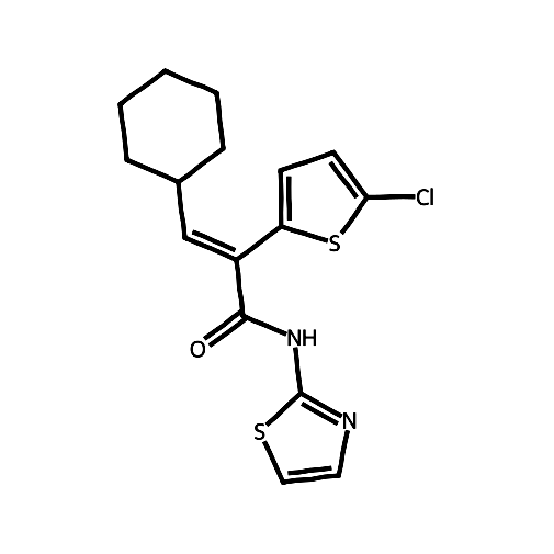 O=C(Nc1nccs1)/C(=C/C1CCCCC1)c1ccc(Cl)s1